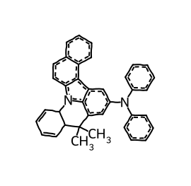 CC1(C)c2cc(N(c3ccccc3)c3ccccc3)cc3c4c5ccccc5ccc4n(c23)C2C=CC=CC21